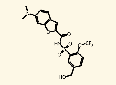 CN(C)c1ccc2cc(C(=O)NS(=O)(=O)c3cc(CO)ccc3OC(F)(F)F)oc2c1